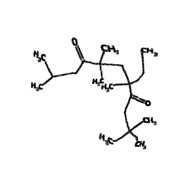 CCC(C)(CC(C)(C)C(=O)CC(C)C)C(=O)CC(C)(C)C